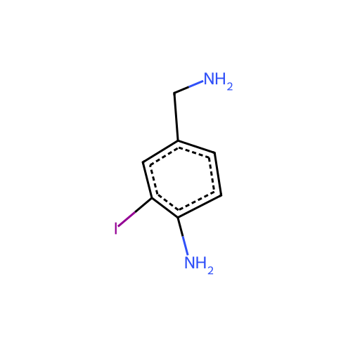 NCc1ccc(N)c(I)c1